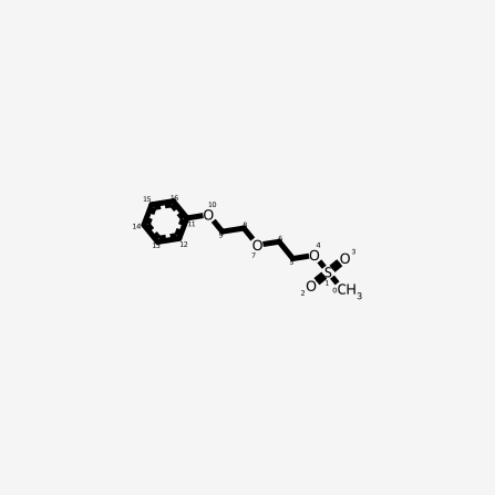 CS(=O)(=O)OCCOCCOc1ccccc1